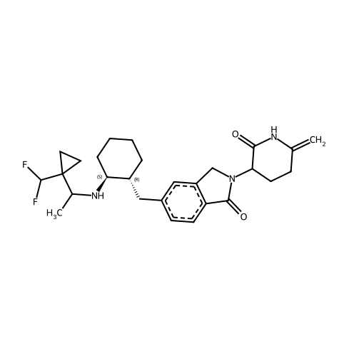 C=C1CCC(N2Cc3cc(C[C@H]4CCCC[C@@H]4NC(C)C4(C(F)F)CC4)ccc3C2=O)C(=O)N1